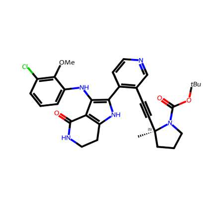 COc1c(Cl)cccc1Nc1c(-c2ccncc2C#C[C@]2(C)CCCN2C(=O)OC(C)(C)C)[nH]c2c1C(=O)NCC2